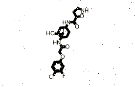 O=C(COc1ccc(Cl)c(F)c1)NC12CCC(NC(=O)C3CCNO3)(CC1)CC2O